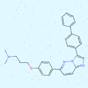 CN(C)CCCOc1ccc(-c2ccc3ncc(-c4ccc(-c5ccccc5)cc4)n3n2)cc1